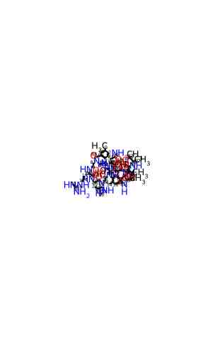 Cc1ccc2ncn(CC(=O)N[C@@H](CCCNC(=N)N)C(=O)N[C@@H](Cc3c[nH]cn3)C(=O)N[C@@H](Cc3ccc(O)cc3)C(=O)N[C@@H](CC(C)C)C(=O)N[C@@H](CC(N)=O)C(=O)N[C@@H](Cc3c[nH]c4ccccc34)C(=O)N[C@H](C(=O)N[C@H](C)[C@@H](C)O)C(C)C)c(=O)c2c1